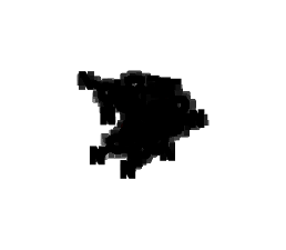 N#Cc1ccc(-c2ccc3c(c2)c2ccccc2n3-c2cc(-c3c(C(F)(F)F)cccc3C(F)(F)F)c(C#N)cc2-n2c3ccc(-c4ccc(C#N)cc4C#N)cc3c3ccc(-c4cc(C#N)cc(C#N)c4-c4ccc5c6ccccc6n(-c6cc(-c7c(C(F)(F)F)cccc7C(F)(F)F)c(C#N)cc6-n6c7ccccc7c7ccc(-c8ccc(C#N)cc8C#N)cc76)c5c4)cc32)c(C#N)c1